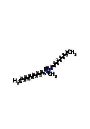 CCCCCCCCCCCCCN1C=CN(CCCCCCCCCCCCC)C1C